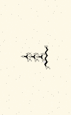 C/C=C/CCC[CH2][Ti+3].CC(C)[O-].CC(C)[O-].CC(C)[O-]